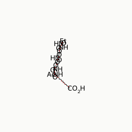 CCC(=O)NCCNC(=O)COCCOCCNC(=O)COCCOCCNC(=O)CC[C@H](NC(=O)CCCCCCCCCCCCCCC(=O)O)C(C)=O